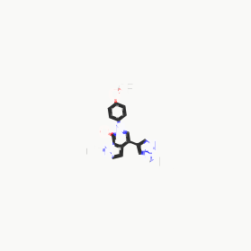 CC(C)n1ccc2c(-c3cnn(C)c3)cn(-c3ccc(OC(F)(F)F)cc3)c(=O)c21